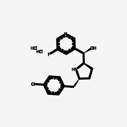 Cl.Cl.O[C@@H](c1cncc(F)c1)[C@H]1CC[C@H](Cc2ccc(Cl)cc2)N1